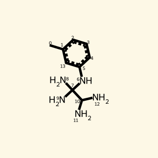 Cc1cccc(NC(N)(N)C(N)N)c1